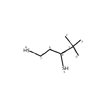 CC(C)(C)C(S)CCS